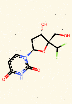 O=c1ccn([C@H]2C[C@H](O)[C@](CO)(C(F)F)O2)c(=O)[nH]1